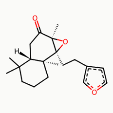 CC1(C)CCC[C@@]2(C)[C@H]1CC(=O)[C@@]1(C)O[C@@]21CCc1ccoc1